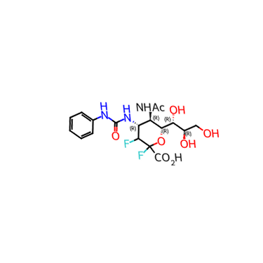 CC(=O)N[C@H]1[C@H]([C@H](O)[C@H](O)CO)OC(F)(C(=O)O)C(F)[C@@H]1NC(=O)Nc1ccccc1